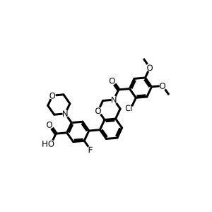 COc1cc(Cl)c(C(=O)N2COc3c(cccc3-c3cc(N4CCOCC4)c(C(=O)O)cc3F)C2)cc1OC